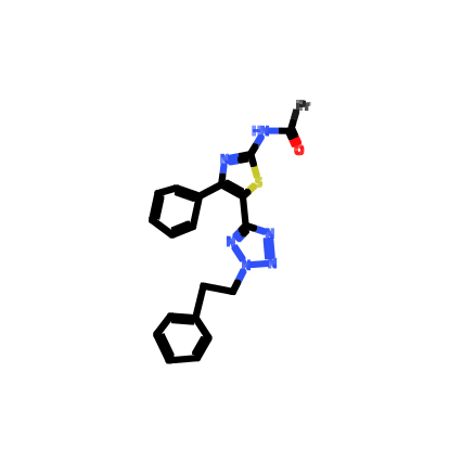 CC(C)C(=O)Nc1nc(-c2ccccc2)c(-c2nnn(CCc3ccccc3)n2)s1